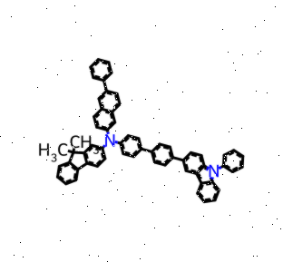 CC1(C)c2ccccc2-c2ccc(N(c3ccc(-c4ccc(-c5ccc6c(c5)c5ccccc5n6-c5ccccc5)cc4)cc3)c3ccc4cc(-c5ccccc5)ccc4c3)cc21